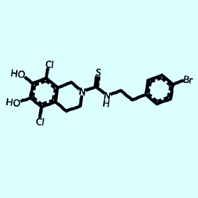 Oc1c(O)c(Cl)c2c(c1Cl)CCN(C(=S)NCCc1ccc(Br)cc1)C2